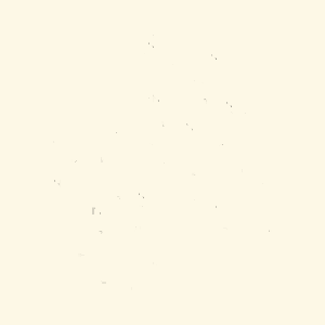 CC(=N)c1cc(-c2nc(N)c(N)c(N)n2)c(OCc2ccccc2F)nc1Nc1ccccc1